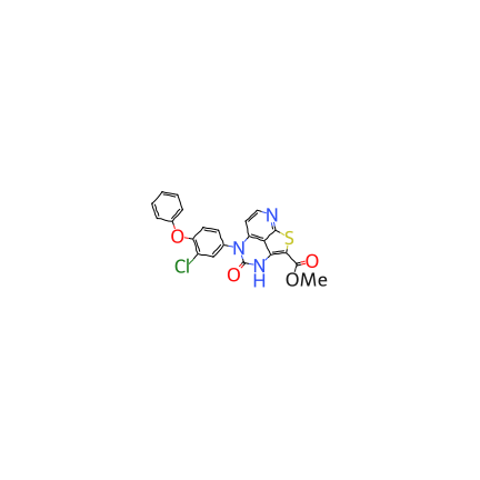 COC(=O)c1sc2nccc3c2c1NC(=O)N3c1ccc(Oc2ccccc2)c(Cl)c1